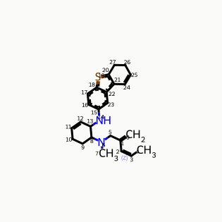 C=C(/C=C\C)CN(C)C1CCC=CC1Nc1ccc2sc3c(c2c1)C=CCC3